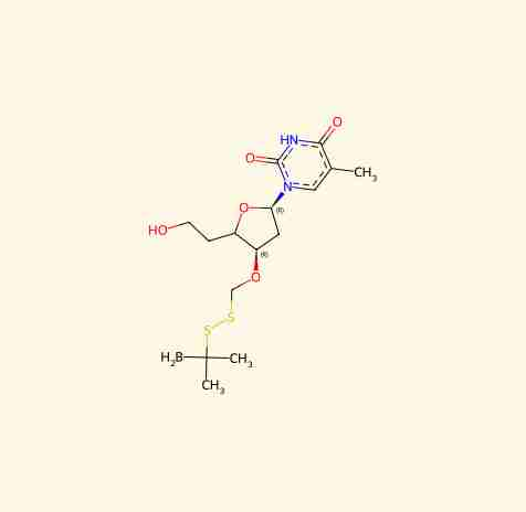 BC(C)(C)SSCO[C@@H]1C[C@H](n2cc(C)c(=O)[nH]c2=O)OC1CCO